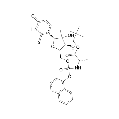 C[C@H](NP(=O)(OC[C@H]1O[C@@H](n2ccc(=O)[nH]c2=S)C(C)(O)[C@H]1O)Oc1cccc2ccccc12)C(=O)OCC(C)(C)C